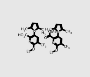 CCOc1nc(C(=O)O)c(-n2c(C)ccc2C)cc1C(F)(F)F.CCOc1nc(C(=O)OC)c(-n2c(C)ccc2C)cc1C(F)(F)F